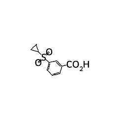 O=C(O)c1cccc(S(=O)(=O)C2CC2)c1